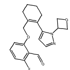 O=Cc1c(F)cccc1OCC1=C(c2ccnn2C2COC2)CCCC1